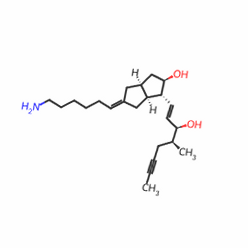 CC#CC[C@H](C)[C@H](O)C=C[C@@H]1[C@H]2CC(=CCCCCCN)C[C@H]2C[C@H]1O